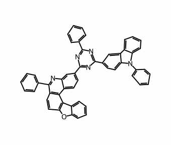 c1ccc(-c2nc(-c3ccc4c(c3)nc(-c3ccccc3)c3ccc5oc6ccccc6c5c34)nc(-c3ccc4c(c3)c3ccccc3n4-c3ccccc3)n2)cc1